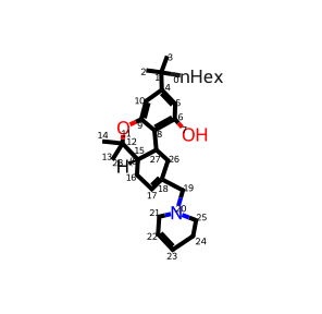 CCCCCCC(C)(C)c1cc(O)c2c(c1)OC(C)(C)[C@H]1CC=C(CN3CC=CCC3)CC21